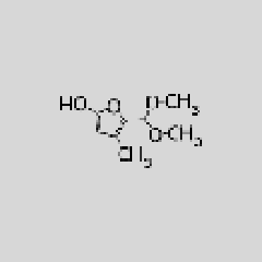 COC(OC)c1oc(O)cc1C